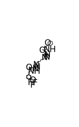 O=C(NCc1cccc(OC(F)(F)F)c1)c1cn(CCCCn2cc(C(=O)NCC3CCCCO3)nn2)nn1